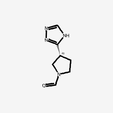 O=CN1CC[C@@H](c2nnc[nH]2)C1